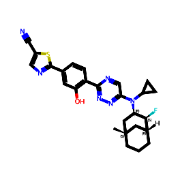 C[C@]12CCC[C@H](C1)[C@H](F)[C@H](N(c1cnc(-c3ccc(-c4ncc(C#N)s4)cc3O)nn1)C1CC1)C2